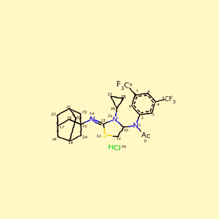 CC(=O)N(c1cc(C(F)(F)F)cc(C(F)(F)F)c1)C1CSC(=NC23CC4CC(CC(C4)C2)C3)N1C1CC1.Cl